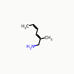 C/C=C\C=C(/C)CN